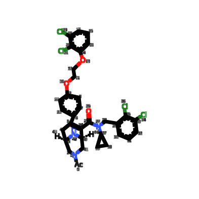 CC(=O)N1C[C@H]2CC(c3ccc(OCCOc4cccc(Cl)c4Cl)cc3)=C(C(=O)N(Cc3cccc(Cl)c3Cl)C3CC3)[C@@H](C1)N2